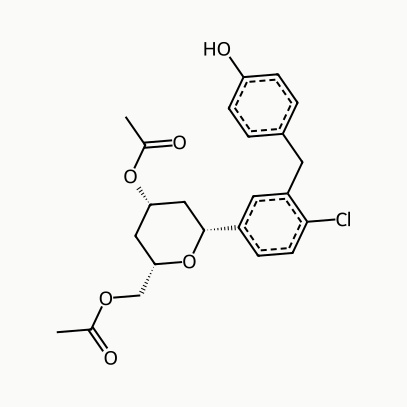 CC(=O)OC[C@@H]1C[C@H](OC(C)=O)C[C@H](c2ccc(Cl)c(Cc3ccc(O)cc3)c2)O1